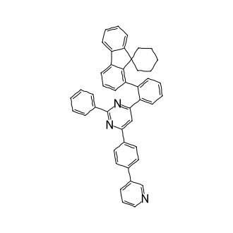 c1ccc(-c2nc(-c3ccc(-c4cccnc4)cc3)cc(-c3ccccc3-c3cccc4c3C3(CCCCC3)c3ccccc3-4)n2)cc1